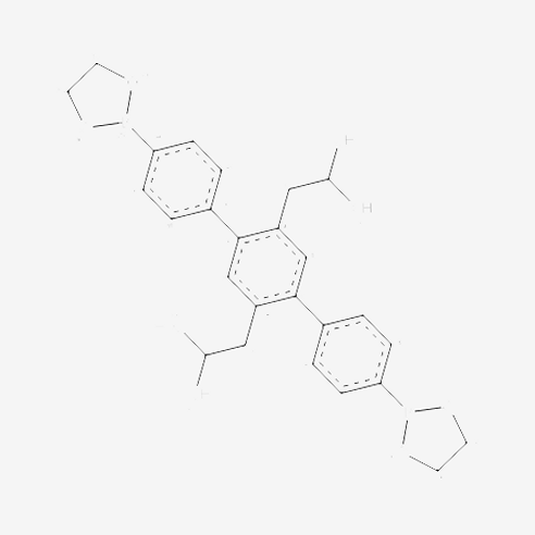 CC(C)Cc1cc(-c2ccc(B3OCCO3)cc2)c(CC(C)C)cc1-c1ccc(B2OCCO2)cc1